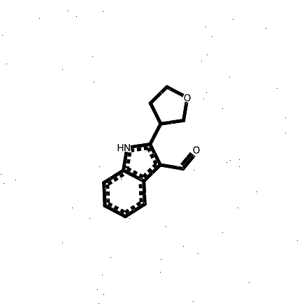 O=Cc1c(C2CCOC2)[nH]c2ccccc12